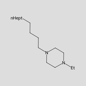 CCCCCCCCCCCN1CCN(CC)CC1